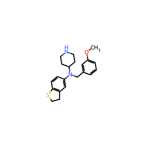 COc1cccc(CN(c2ccc3c(c2)CCS3)C2CCNCC2)c1